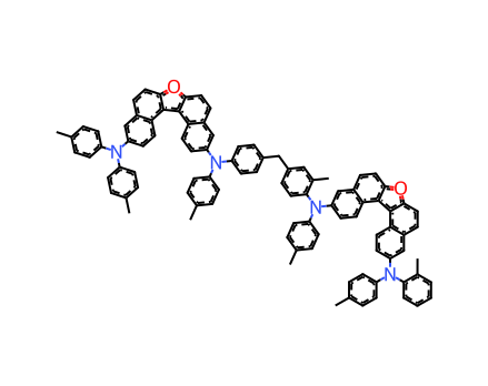 Cc1ccc(N(c2ccc(C)cc2)c2ccc3c(ccc4oc5ccc6cc(N(c7ccc(C)cc7)c7ccc(Cc8ccc(N(c9ccc(C)cc9)c9ccc%10c(ccc%11oc%12ccc%13cc(N(c%14ccc(C)cc%14)c%14ccccc%14C)ccc%13c%12c%11%10)c9)c(C)c8)cc7)ccc6c5c43)c2)cc1